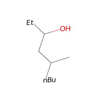 CCCCC(C)CC(O)CC